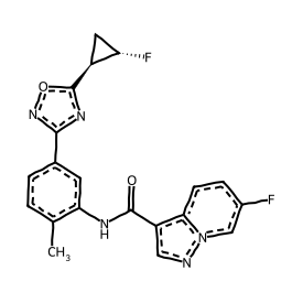 Cc1ccc(-c2noc([C@H]3C[C@@H]3F)n2)cc1NC(=O)c1cnn2cc(F)ccc12